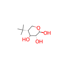 CC(C)(C)[C@@H]1CO[C@@H](O)[C@H](O)C1O